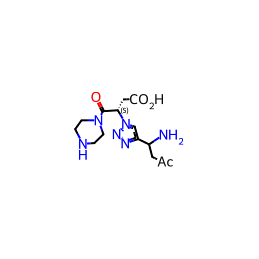 CC(=O)CC(N)c1cn([C@@H](CC(=O)O)C(=O)N2CCNCC2)nn1